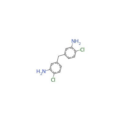 Nc1cc(Cc2ccc(Cl)c(N)c2)ccc1Cl